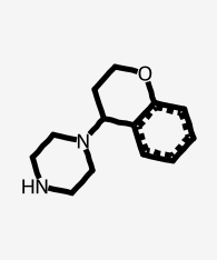 c1ccc2c(c1)OCCC2N1CCNCC1